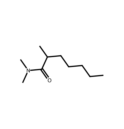 CCCCCC(C)C(=O)N(C)C